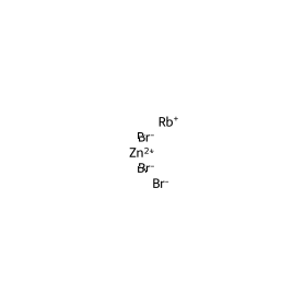 [Br-].[Br-].[Br-].[Rb+].[Zn+2]